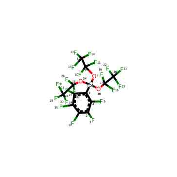 Fc1c(F)c(F)c([Si](OC(F)(F)C(F)(F)F)(OC(F)(F)C(F)(F)F)OC(F)(F)C(F)(F)F)c(F)c1F